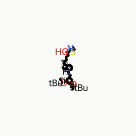 C[C@@H](CCCC(O)c1nccs1)[C@H]1CC[C@H]2/C(=C/C=C3C[C@@H](O[Si](C)(C)C(C)(C)C)C[C@H](O[Si](C)(C)C(C)(C)C)C3)CCC[C@]12C